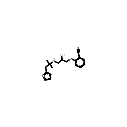 CC(C)(Cc1cccs1)NCC(O)COc1ccccc1C#N